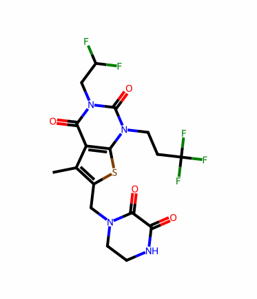 Cc1c(CN2CCNC(=O)C2=O)sc2c1c(=O)n(CC(F)F)c(=O)n2CCC(F)(F)F